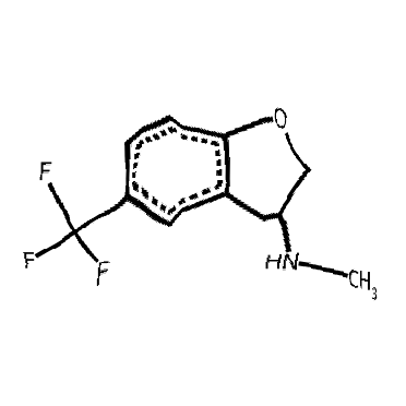 CNC1COc2ccc(C(F)(F)F)cc21